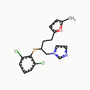 Cc1ccc(CCC(Cn2ccnc2)Sc2c(Cl)cccc2Cl)o1